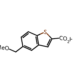 COCc1ccc2sc(C(=O)O)cc2c1